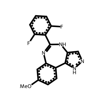 COc1ccc2c(c1)N=C(c1c(F)cccc1F)Nc1cn[nH]c1-2